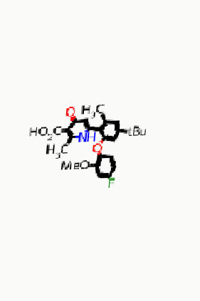 COc1cc(F)ccc1Oc1cc(C(C)(C)C)cc(C)c1-c1cc(=O)c(C(=O)O)c(C)[nH]1